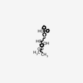 CCC(C)C(=O)Oc1ccc(C(O)CCCN2CCC(C(O)(c3ccccc3)c3ccccc3)CC2)c(O)c1